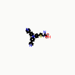 N#C/C(=C\c1ccc(-c2ccc(N(c3ccc(-c4ccncc4)cc3)c3ccc(-c4ccncc4)cc3)cc2)s1)C(=O)O